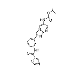 CC(C)OC(=O)Nc1cnc2nc(-c3cccc(NC(=O)c4cnco4)c3)cn2c1